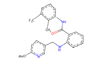 COc1ccc(CNc2ccccc2C(=O)Nc2cccc(C(F)(F)F)c2C)cn1